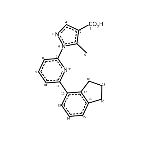 Cc1c(C(=O)O)cnn1-c1cccc(-c2cccc3c2CCC3)n1